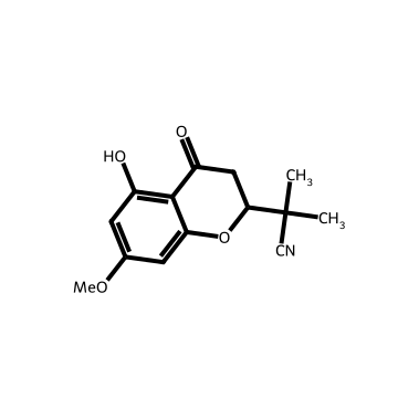 COc1cc(O)c2c(c1)OC(C(C)(C)C#N)CC2=O